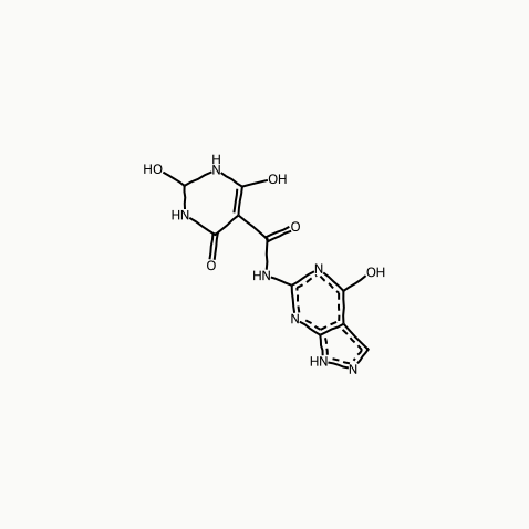 O=C(Nc1nc(O)c2cn[nH]c2n1)C1=C(O)NC(O)NC1=O